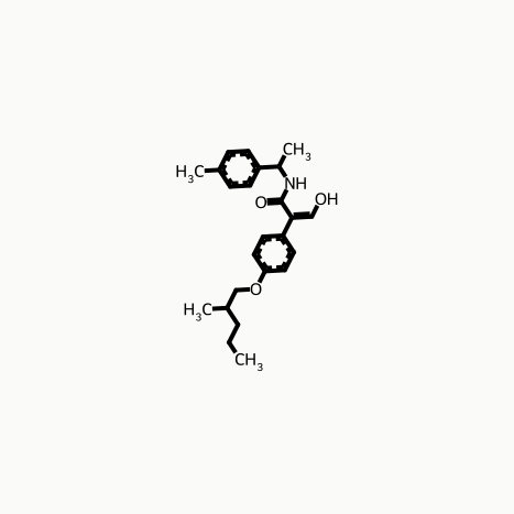 CCCC(C)COc1ccc(C(=CO)C(=O)NC(C)c2ccc(C)cc2)cc1